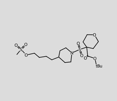 CC(C)(C)OC(=O)C1(S(=O)(=O)N2CCC(CCCCOS(C)(=O)=O)CC2)CCOCC1